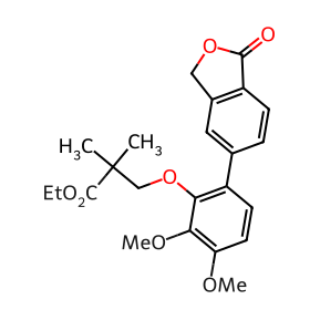 CCOC(=O)C(C)(C)COc1c(-c2ccc3c(c2)COC3=O)ccc(OC)c1OC